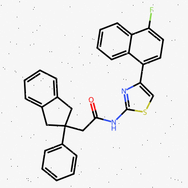 O=C(CC1(c2ccccc2)Cc2ccccc2C1)Nc1nc(-c2ccc(F)c3ccccc23)cs1